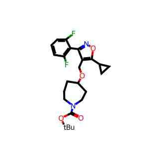 CC(C)(C)OC(=O)N1CCCC(OCc2c(-c3c(F)cccc3F)noc2C2CC2)CC1